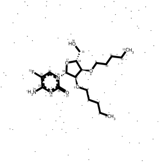 CCCCCO[C@@H]1[C@H](OCCCCC)[C@@H](CO)O[C@H]1n1cc(F)c(N)nc1=O